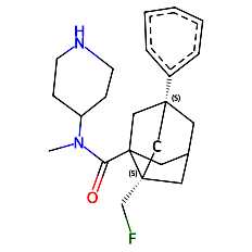 CN(C(=O)C12CC3C[C@](c4ccccc4)(C1)C[C@@]2(CF)C3)C1CCNCC1